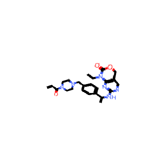 C=CC(=O)N1CCN(Cc2ccc(C(C)Nc3ncc4c(n3)N(CC)C(=O)OC4)cc2)CC1